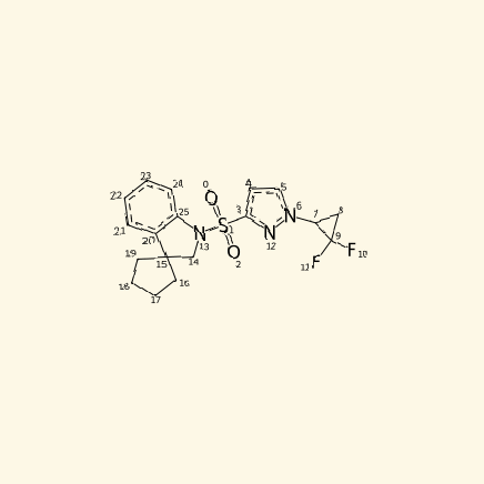 O=S(=O)(c1ccn(C2CC2(F)F)n1)N1CC2(CCCC2)c2ccccc21